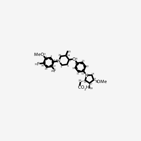 COc1cc(N2CCC(Oc3ccc(N4C[C@H](OC)[C@@H](C)[C@@H]4CC(=O)O)cc3)C(C)C2)c(F)cc1F